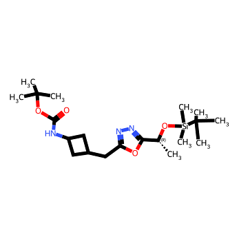 C[C@@H](O[Si](C)(C)C(C)(C)C)c1nnc(CC2CC(NC(=O)OC(C)(C)C)C2)o1